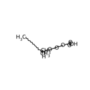 CCCCCCCCCCCCCCCCCC(C)(C)NCCCCOCCCCOCCCCOCCCCS(=O)(=O)O